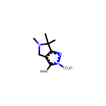 CCOC(=O)n1nc2c(c1NC)CN(C)C2(C)C